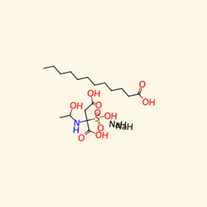 CC(O)NC(CC(=O)O)(C(=O)O)S(=O)(=O)O.CCCCCCCCCCCC(=O)O.[NaH].[NaH]